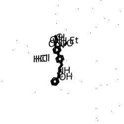 CCOCCNc1cc(-c2ccc(CCNC[C@H](O)c3ccccc3)cc2)ccc1C(=O)NS(C)(=O)=O.Cl.Cl